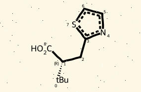 CC(C)(C)[C@@H](Cc1nccs1)C(=O)O